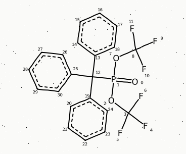 O=P(OC(F)(F)F)(OC(F)(F)F)C(c1ccccc1)(c1ccccc1)c1ccccc1